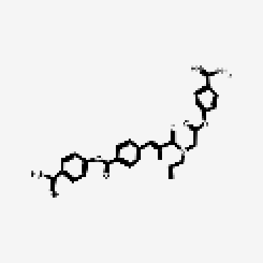 C=CCN(CC(=O)Oc1ccc(C(=N)N)cc1)C(=O)/C(C)=C/c1ccc(C(=O)Oc2ccc(C(=N)N)cc2)cc1